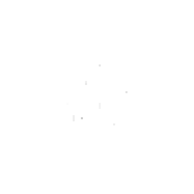 O=P(O)(O)O.[K+].[Sr+2]